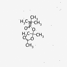 CC(=O)OC(C)(C)O[PH](=O)C(C)(C)C